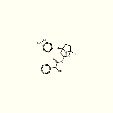 CN1[C@@H]2CC[C@H]1C[C@@H](OC(=O)C(O)c1ccccc1)C2.OO.c1ccccc1